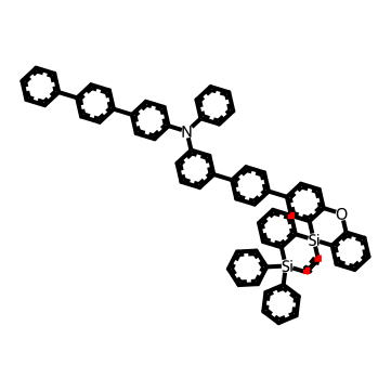 c1ccc(-c2ccc(-c3ccc(N(c4ccccc4)c4cccc(-c5ccc(-c6ccc7c(c6)[Si]6(c8ccccc8O7)c7ccccc7[Si](c7ccccc7)(c7ccccc7)c7ccccc76)cc5)c4)cc3)cc2)cc1